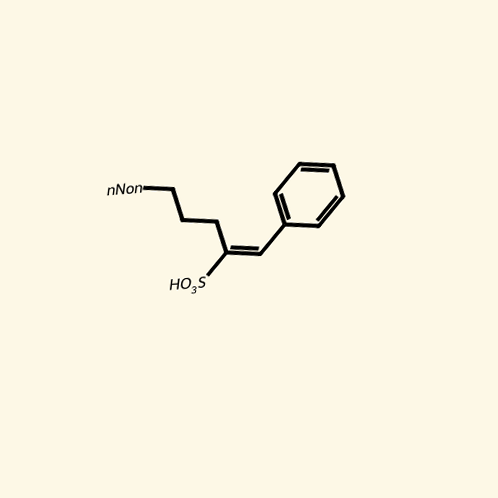 CCCCCCCCCCCCC(=Cc1ccccc1)S(=O)(=O)O